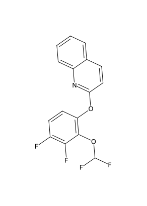 Fc1ccc(Oc2ccc3ccccc3n2)c(OC(F)F)c1F